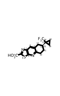 O=C(O)c1nc2cc3c(nc2s1)CC[C@H](C1(C(F)(F)F)CC1)C3